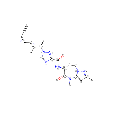 C#C/C=C\C=C(/C)[C@@H](C)n1cnc(C(=O)N[C@H]2CCn3nc(C)cc3N(C)C2=O)n1